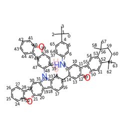 CC(C)(C)c1ccc(Nc2cc3c(cc2-c2ccc4c5cc6oc7ccccc7c6cc5n5c4c2Bc2cc4oc6ccccc6c4cc2-5)oc2cc4c(cc23)C(C)(C)CCC4(C)C)cc1